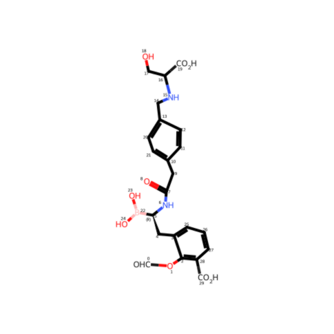 O=COc1c(C[C@H](NC(=O)Cc2ccc(CNC(CO)C(=O)O)cc2)B(O)O)cccc1C(=O)O